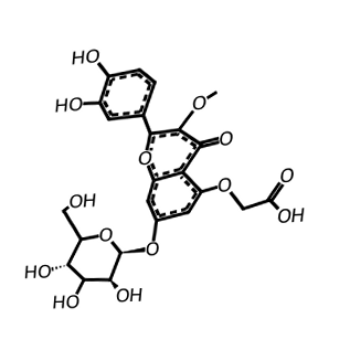 COc1c(-c2ccc(O)c(O)c2)oc2cc(O[C@@H]3OC(CO)[C@@H](O)C(O)[C@@H]3O)cc(OCC(=O)O)c2c1=O